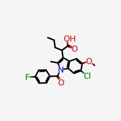 CCCC(C(=O)O)c1c(C)n(C(=O)c2ccc(F)cc2)c2cc(Cl)c(OC)cc12